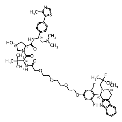 Cc1ncsc1-c1ccc([C@H](CN(C)C)NC(=O)[C@@H]2C[C@@H](O)CN2C(=O)[C@@H](NC(=O)COCCOCCOCCOc2cc(F)c([C@@H]3c4[nH]c5ccccc5c4C[C@@H](C)N3CC(C)(C)F)c(F)c2)C(C)(C)C)cc1